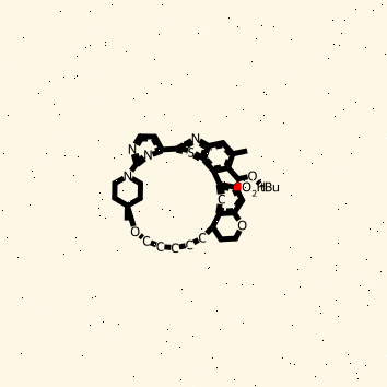 Cc1cc2nc3sc2c(c1[C@H](OC(C)(C)C)C(=O)O)-c1ccc2c(c1)C(CCCCCOC1(C)CCN(CC1)c1nccc-3n1)CCO2